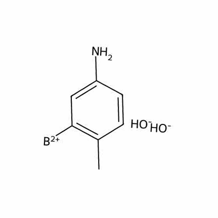 [B+2]c1cc(N)ccc1C.[OH-].[OH-]